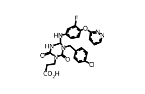 O=C(O)CCN1C(=O)NC(Nc2ccc(Oc3cccnn3)c(F)c2)N(Cc2ccc(Cl)cc2)C1=O